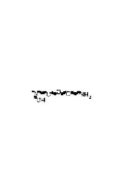 CN(CO)CCCOCCOCCOCCCN